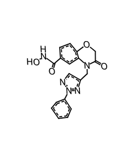 O=C(NO)c1ccc2c(c1)N(Cc1cnn(-c3ccccc3)n1)C(=O)CO2